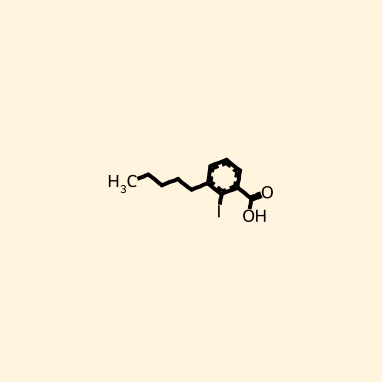 CCCCCc1cccc(C(=O)O)c1I